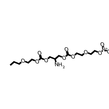 CCCOCCOC(=O)OCC(N)COC(=O)OCCOCCO[N+](=O)[O-]